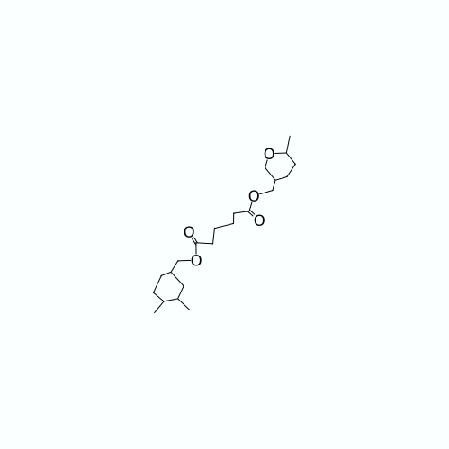 CC1CCC(COC(=O)CCCCC(=O)OCC2CCC(C)C(C)C2)CO1